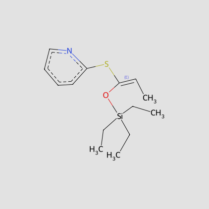 C/C=C(\O[Si](CC)(CC)CC)Sc1ccccn1